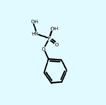 O=P(O)(NO)Oc1ccccc1